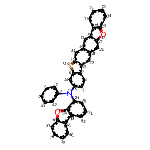 c1ccc(N(c2ccc3c(c2)sc2cc4cc5c(cc4cc23)oc2ccccc25)c2cccc3c2oc2ccccc23)cc1